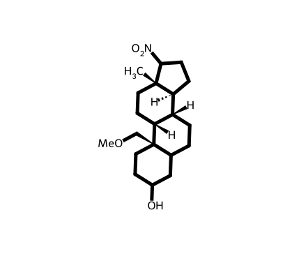 COC[C@]12CCC(O)CC1CC[C@@H]1[C@H]2CC[C@]2(C)C([N+](=O)[O-])CC[C@@H]12